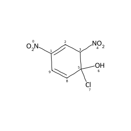 O=[N+]([O-])C1=CC([N+](=O)[O-])C(O)(Cl)C=C1